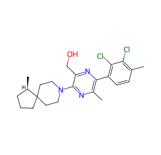 Cc1ccc(-c2nc(CO)c(N3CCC4(CCC[C@H]4C)CC3)nc2C)c(Cl)c1Cl